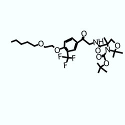 CCCCCOCCOc1ccc(C(=O)CNC(=O)C2(C)COC(C)(C)N2C(=O)OC(C)(C)C)cc1C(F)(F)F